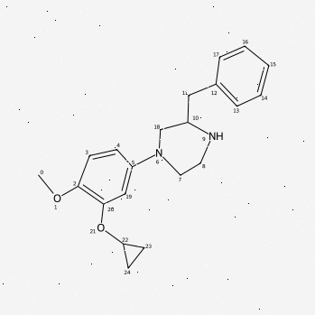 COc1ccc(N2CCNC(Cc3ccccc3)C2)cc1OC1CC1